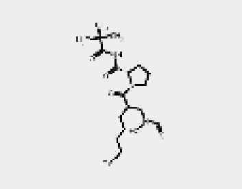 CCCCCC(CN(O)C=O)C(=O)N1CCC[C@H]1C(=O)NC(=O)C(C)(C)C